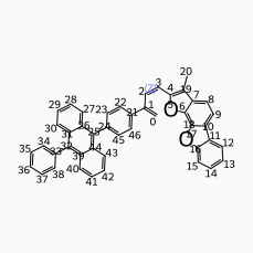 C=C(/C=C\c1oc2c(ccc3c4ccccc4oc32)c1C)c1ccc(-c2c3ccccc3c(-c3ccccc3)c3ccccc23)cc1